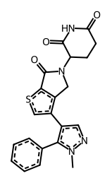 Cn1ncc(-c2csc3c2CN(C2CCC(=O)NC2=O)C3=O)c1-c1ccccc1